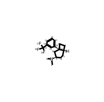 CN(C)[C@@H]1CC[C@H]2CC[C@@]2(c2cccc(C(F)(F)F)c2)C1